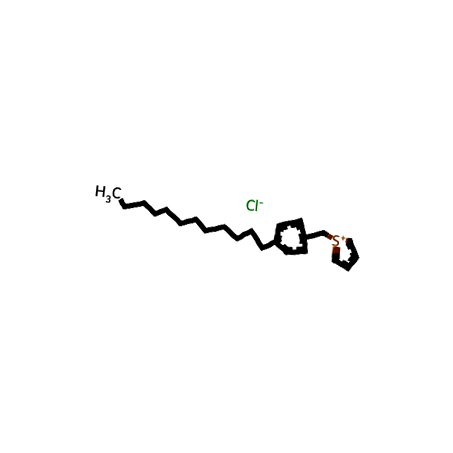 CCCCCCCCCCCCc1ccc(C[s+]2cccc2)cc1.[Cl-]